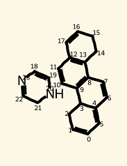 C1=CCC2C(=C1)C=Cc1c2ccc2c1CCC=C2.C1=CNCC=N1